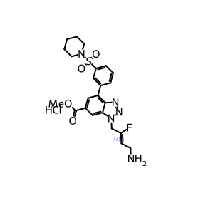 COC(=O)c1cc(-c2cccc(S(=O)(=O)N3CCCCC3)c2)c2nnn(C/C(F)=C/CN)c2c1.Cl